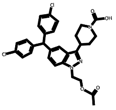 CC(=O)OCCn1nc(C2CCN(C(=O)O)CC2)c2cc(C(c3ccc(Cl)cc3)c3ccc(Cl)cc3)ccc21